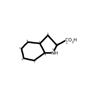 O=C(O)C1[CH]C2CCCCC2N1